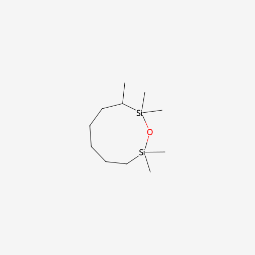 CC1CCCCC[Si](C)(C)O[Si]1(C)C